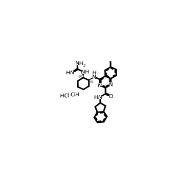 Cc1ccc2nc(C(=O)NC3Cc4ccccc4C3)nc(N[C@H]3CCCC[C@H]3NC(=N)N)c2c1.Cl.Cl